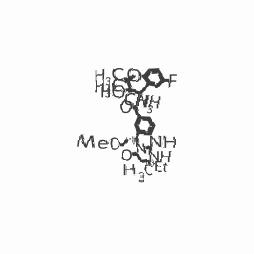 CC[C@]1(C)CC(=O)N([C@H](CCOC)c2cccc(C(=O)NC3c4cc(F)ccc4OC(C)(C)C3(C)O)c2)C(=N)N1